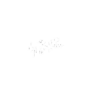 CNC(=O)c1c(-c2ccc(F)cc2)oc2cc(N(C)S(C)(=O)=O)c(-c3cc(-c4cc5c(F)cccc5[nH]4)ncc3Cl)cc12